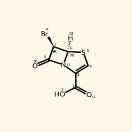 O=C(O)C1=CS[C@@H]2[C@H](Br)C(=O)N12